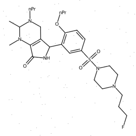 CCCOc1ccc(S(=O)(=O)N2CCN(CCCF)CC2)cc1C1NC(=O)C2=C1CN(CCC)C(C)N2C